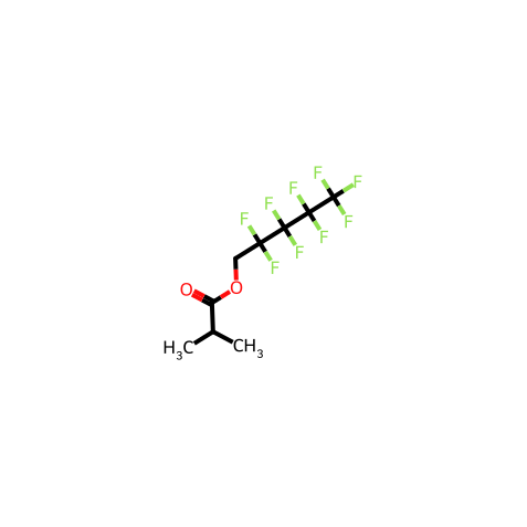 CC(C)C(=O)OCC(F)(F)C(F)(F)C(F)(F)C(F)(F)F